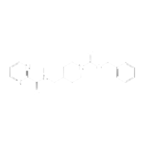 O=C(NCC1CCN(C(=O)OCc2ccccc2)CC1)c1ncccn1